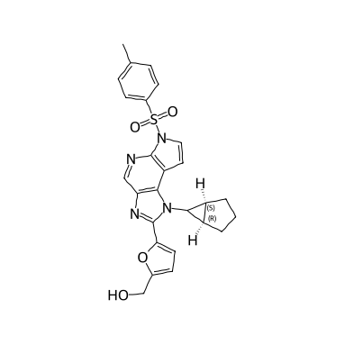 Cc1ccc(S(=O)(=O)n2ccc3c2ncc2nc(-c4ccc(CO)o4)n(C4[C@H]5CCC[C@@H]45)c23)cc1